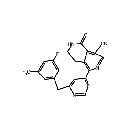 N#Cc1cnc(-c2cc(Cc3cc(F)cc(C(F)(F)F)c3)ncn2)c2c1C(=O)NCC2